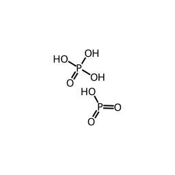 O=P(=O)O.O=P(O)(O)O